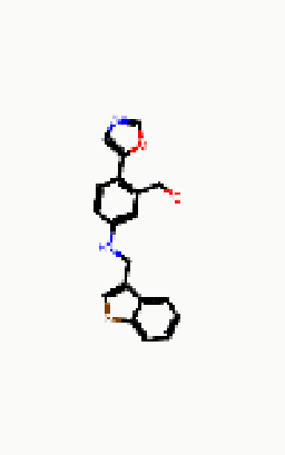 OCc1cc(NCc2csc3ccccc23)ccc1-c1cnco1